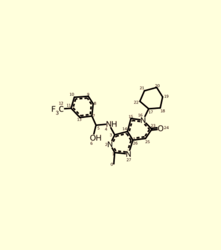 Cc1nc(NC(O)c2cccc(C(F)(F)F)c2)c2cn(C3CCCCC3)c(=O)cc2n1